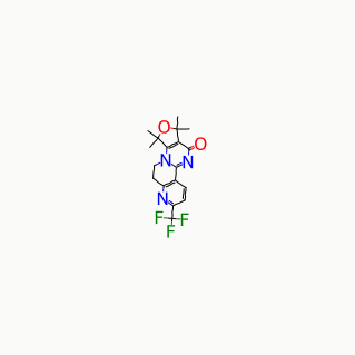 CC1(C)OC(C)(C)c2c1c(=O)nc1n2CCc2nc(C(F)(F)F)ccc2-1